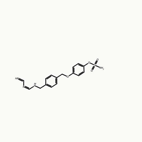 N=C/N=C\NCc1ccc(COc2ccc(OS(N)(=O)=O)cc2)cc1